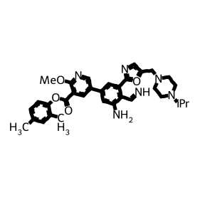 COc1ncc(-c2cc(N)c(C=N)c(-c3ncc(CN4CCN(C(C)C)CC4)o3)c2)cc1C(=O)Oc1ccc(C)cc1C